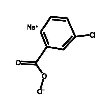 O=C(O[O-])c1cccc(Cl)c1.[Na+]